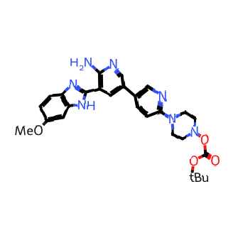 COc1ccc2nc(-c3cc(-c4ccc(N5CCN(OC(=O)OC(C)(C)C)CC5)nc4)cnc3N)[nH]c2c1